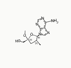 CO[C@@]1(CO)C[C@H](C)[C@H](n2cnc3c(N)ncnc32)O1